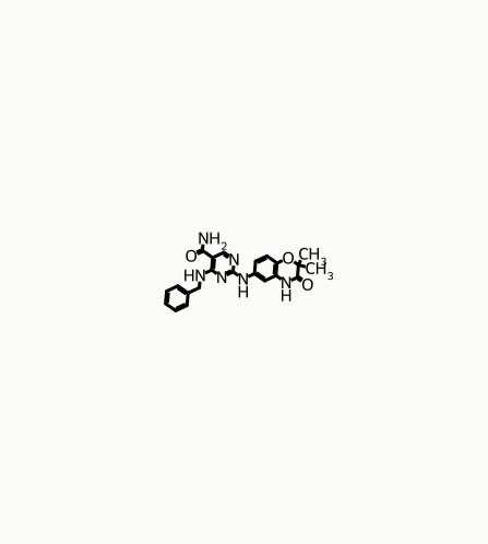 CC1(C)Oc2ccc(Nc3ncc(C(N)=O)c(NCc4ccccc4)n3)cc2NC1=O